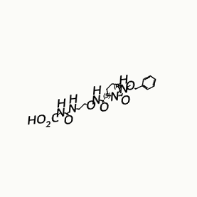 O=C(O)NC(=O)NCCONC(=O)[C@@H]1CC[C@@H]2CN1C(=O)N2OCc1ccccc1